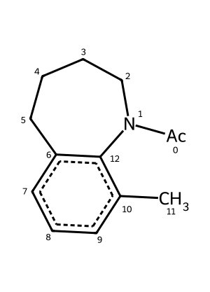 CC(=O)N1CCCCc2cccc(C)c21